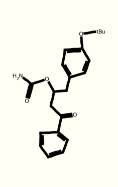 CC(C)(C)Oc1ccc(CC(CC(=O)c2ccccc2)OC(N)=O)cc1